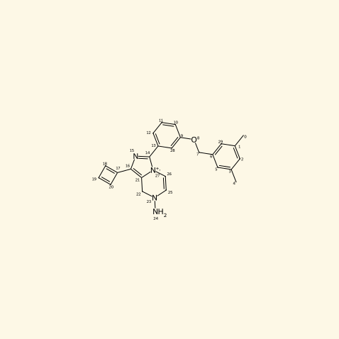 Cc1cc(C)cc(COc2cccc(C3=NC(C4=CC=C4)=C4CN(N)C=C[N+]34)c2)c1